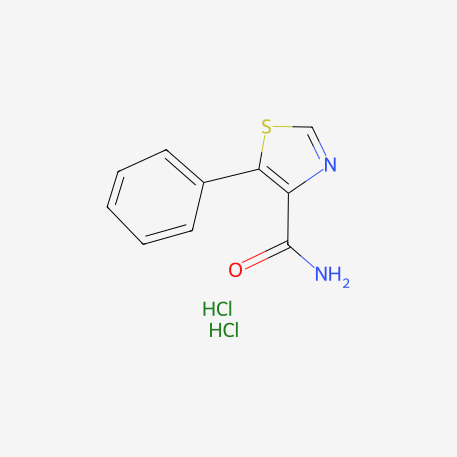 Cl.Cl.NC(=O)c1ncsc1-c1ccccc1